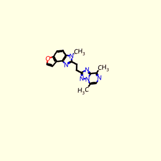 Cc1ncc(C)n2nc(CCc3nc4c5ccoc5ccc4n3C)nc12